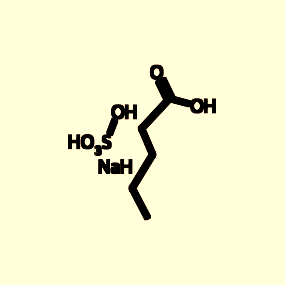 CCCCC(=O)O.O=S(=O)(O)O.[NaH]